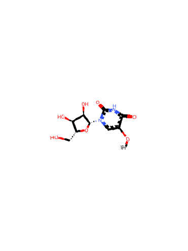 CC(C)Oc1cn([C@@H]2O[C@H](CO)[C@@H](O)[C@H]2O)c(=O)[nH]c1=O